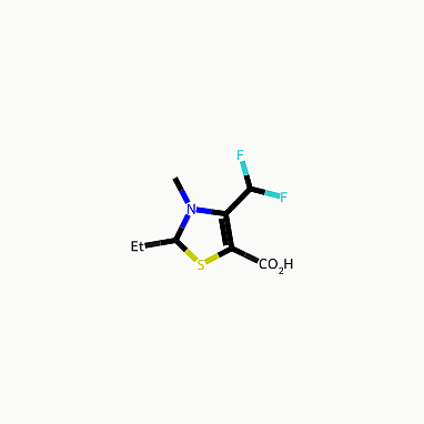 CCC1SC(C(=O)O)=C(C(F)F)N1C